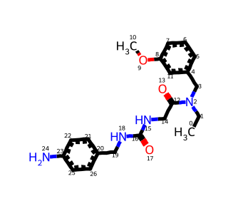 CCN(Cc1cccc(OC)c1)C(=O)CNC(=O)NCc1ccc(N)cc1